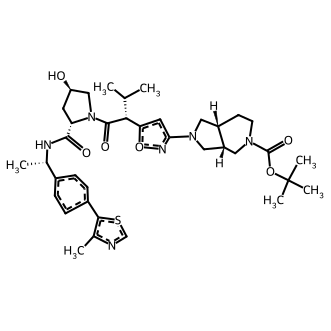 Cc1ncsc1-c1ccc([C@H](C)NC(=O)[C@@H]2C[C@@H](O)CN2C(=O)[C@@H](c2cc(N3C[C@H]4CN(C(=O)OC(C)(C)C)CC[C@H]4C3)no2)C(C)C)cc1